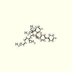 C/C=C\C=C/C(C)=C=C1/C(=N/c2ccc(C3=CC=CCC3)cc2)c2ccccc2C1(C)C